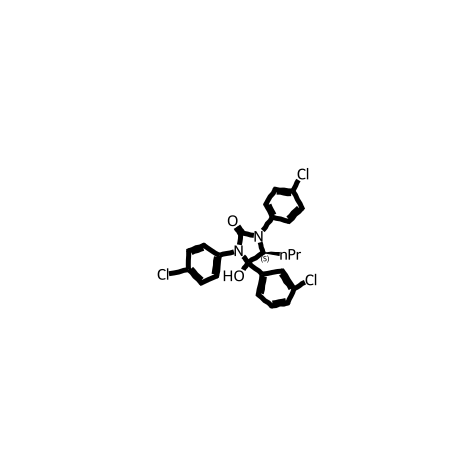 CCC[C@@H]1N(c2ccc(Cl)cc2)C(=O)N(c2ccc(Cl)cc2)C1(O)c1cccc(Cl)c1